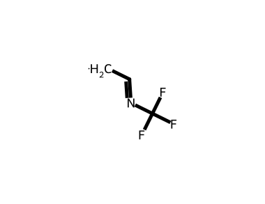 [CH2]/C=N/C(F)(F)F